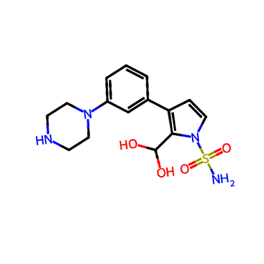 NS(=O)(=O)n1ccc(-c2cccc(N3CCNCC3)c2)c1C(O)O